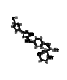 CCC(Oc1ccc(Nc2cc(-c3ccc(F)s3)n[nH]2)cc1)C1COCCN1